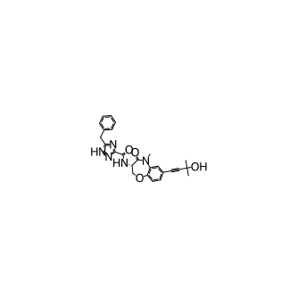 CN1C(=O)[C@@H](NC(=O)c2n[nH]c(Cc3ccccc3)n2)COc2ccc(C#CC(C)(C)O)cc21